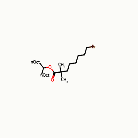 CCCCCCCCC(CCCCCCCC)OC(=O)C(C)(C)CCCCCCBr